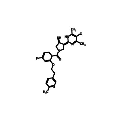 CC1=N/C(=C2\CN(C(=O)C3CC=C(F)C=C3OCCc3ccc(C)nc3)CC2=N)NC(C)=C1Cl